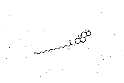 C[C@]12CCCC1C1CC=C3C[C@H](OC(=O)NCCCCCCCCCCCCO)CC[C@@]3(C)C1CC2